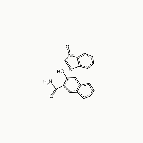 NC(=O)c1cc2ccccc2cc1O.O=[N+]1C=Nc2ccccc21